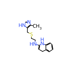 Cc1nc[nH]c1CSCCNC1=CCc2ccccc2N1